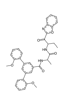 CCC(NC(=O)C(C)NC(=O)c1cc(-c2ccccc2OC)cc(-c2ccccc2OC)c1)C(=O)c1nc2ccccc2o1